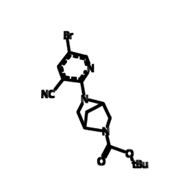 CC(C)(C)OC(=O)N1CC2CC1CN2c1ncc(Br)cc1C#N